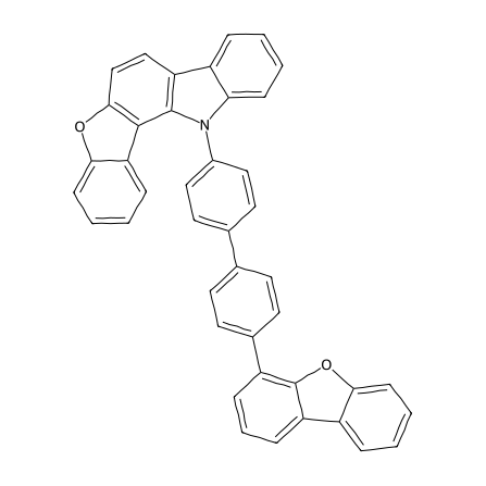 c1ccc2c(c1)oc1c(-c3ccc(-c4ccc(-n5c6ccccc6c6ccc7oc8ccccc8c7c65)cc4)cc3)cccc12